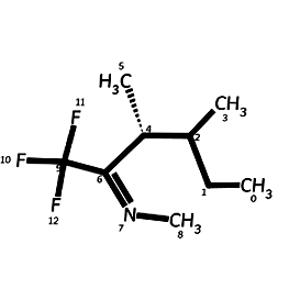 CCC(C)[C@@H](C)/C(=N\C)C(F)(F)F